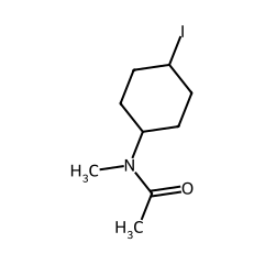 CC(=O)N(C)C1CCC(I)CC1